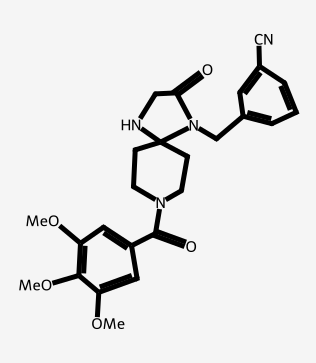 COc1cc(C(=O)N2CCC3(CC2)NCC(=O)N3Cc2cccc(C#N)c2)cc(OC)c1OC